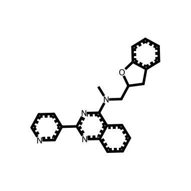 CN(CC1Cc2ccccc2O1)c1nc(-c2cccnc2)nc2ccccc12